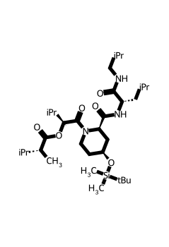 CC(C)CNC(=O)[C@H](CC(C)C)NC(=O)[C@H]1C[C@@H](O[Si](C)(C)C(C)(C)C)CCN1C(=O)[C@@H](OC(=O)[C@H](C)C(C)C)C(C)C